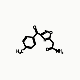 Cc1ccc(C(=O)c2noc(CC(N)=O)n2)cc1